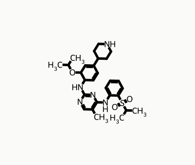 Cc1cnc(NC2C=CC(C3CCNCC3)=CC2OC(C)C)nc1Nc1ccccc1S(=O)(=O)C(C)C